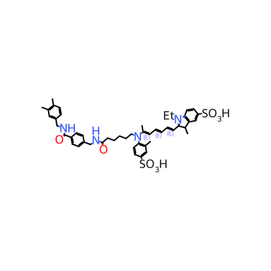 CC[N+]1=C(/C=C/C=C/C=C(\C)N(CCCCCC(=O)NCc2ccc(C(=O)NCc3ccc(C)c(C)c3)cc2)c2ccc(S(=O)(=O)O)cc2C)C(C)c2cc(S(=O)(=O)O)ccc21